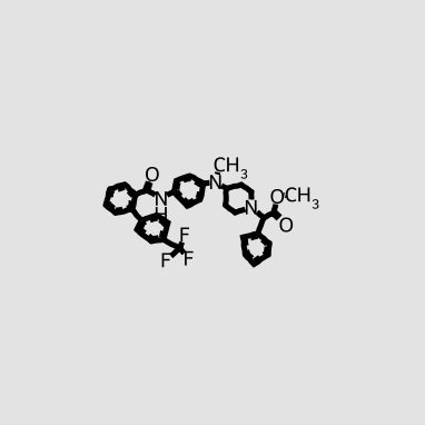 COC(=O)C(c1ccccc1)N1CCC(N(C)c2ccc(NC(=O)c3ccccc3-c3ccc(C(F)(F)F)cc3)cc2)CC1